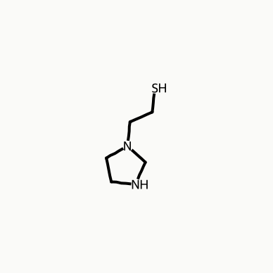 SCCN1CCNC1